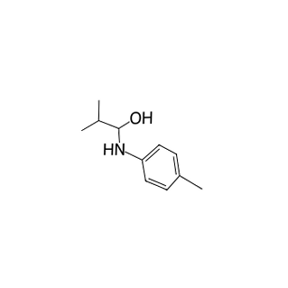 Cc1ccc(NC(O)C(C)C)cc1